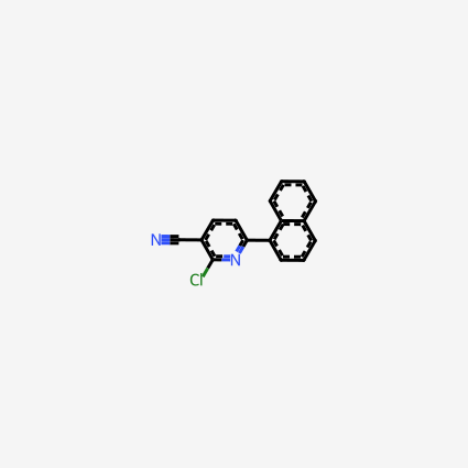 N#Cc1ccc(-c2cccc3ccccc23)nc1Cl